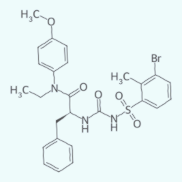 CCN(C(=O)[C@H](Cc1ccccc1)NC(=O)NS(=O)(=O)c1cccc(Br)c1C)c1ccc(OC)cc1